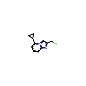 ClCc1cn2c(C3CC3)cccc2n1